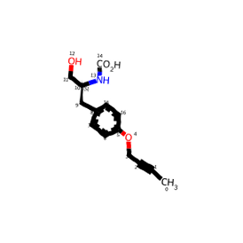 CC#CCOc1ccc(C[C@@H](CO)NC(=O)O)cc1